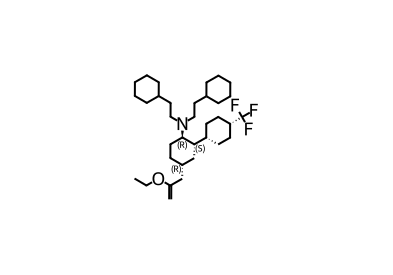 C=C(C[C@@H]1CC[C@@H](N(CCC2CCCCC2)CCC2CCCCC2)[C@H]([C@H]2CC[C@@H](C(F)(F)F)CC2)C1)OCC